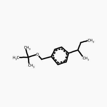 CCC(C)c1ccc(COC(C)(C)C)cc1